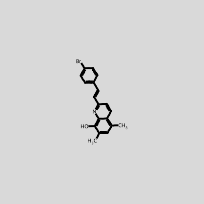 Cc1cc(C)c2ccc(/C=C/c3ccc(Br)cc3)nc2c1O